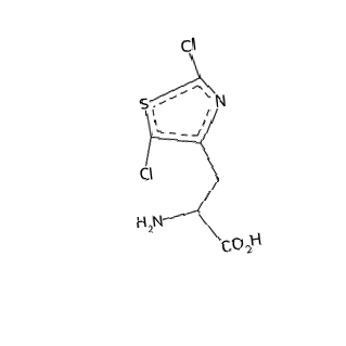 NC(Cc1nc(Cl)sc1Cl)C(=O)O